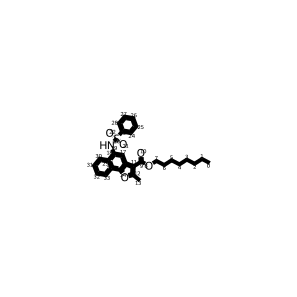 CCCCCCCCOC(=O)c1c(C)oc2c1cc(NS(=O)(=O)c1ccccc1)c1ccccc12